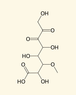 COC(C(O)C(=O)O)C(O)C(O)C(=O)C(=O)CO